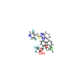 COc1cc(C2CCCc3nc(SCc4c(F)cncc4F)n(-c4ccc(F)cc4)c32)ccc1Cl.O=C(O)C(F)(F)F